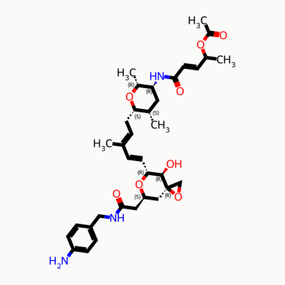 CC(=O)OC(C)C=CC(=O)N[C@@H]1C[C@H](C)[C@H](CC=C(C)C=C[C@H]2O[C@H](CC(=O)NCc3ccc(N)cc3)C[C@@]3(CO3)[C@@H]2O)O[C@@H]1C